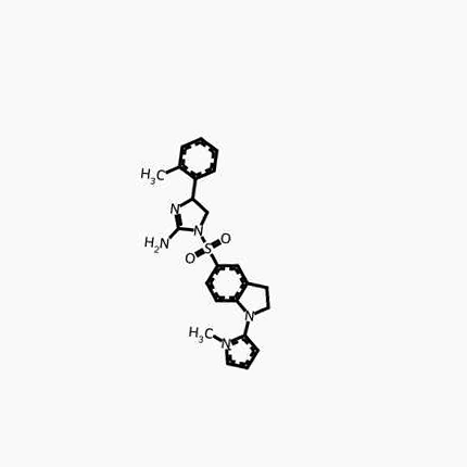 Cc1ccccc1C1CN(S(=O)(=O)c2ccc3c(c2)CCN3c2cccn2C)C(N)=N1